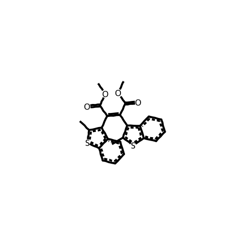 COC(=O)/C(=C(\C(=O)OC)c1c(C)sc2ccccc12)c1c(C)sc2ccccc12